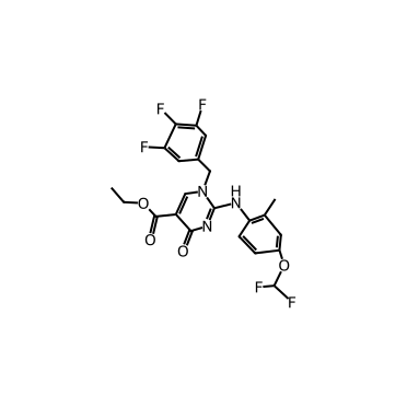 CCOC(=O)c1cn(Cc2cc(F)c(F)c(F)c2)c(Nc2ccc(OC(F)F)cc2C)nc1=O